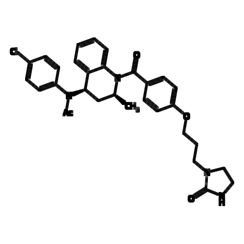 CC(=O)N(c1ccc(Cl)cc1)[C@@H]1C[C@H](C)N(C(=O)c2ccc(OCCCN3CCNC3=O)cc2)c2ccccc21